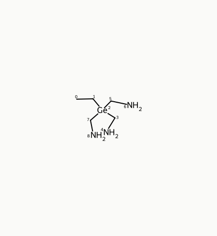 C[CH2][Ge]([CH2]N)([CH2]N)[CH2]N